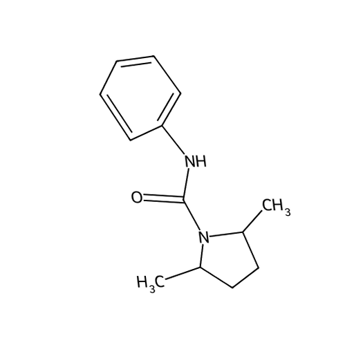 CC1CCC(C)N1C(=O)Nc1ccccc1